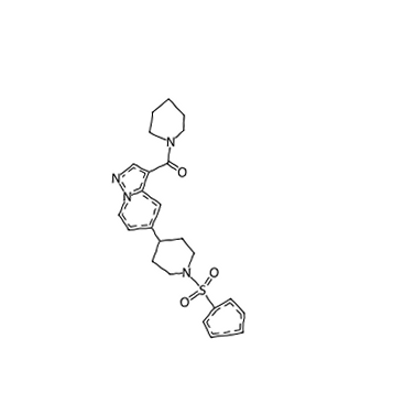 O=C(c1cnn2ccc(C3CCN(S(=O)(=O)c4ccccc4)CC3)cc12)N1CCCCC1